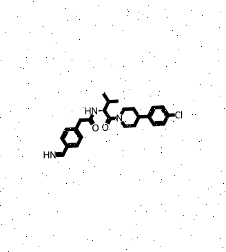 CC(C)[C@@H](NC(=O)Cc1ccc(C=N)cc1)C(=O)N1CCC(c2ccc(Cl)cc2)CC1